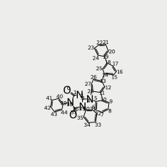 O=c1nc(-n2c3ccccc3c3cc(-c4cccc(-c5ccccc5)c4)ccc32)n(-c2ccccc2)c(=O)n1-c1ccccc1